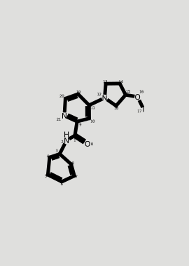 O=C(Nc1ccccc1)c1cc(N2CCC(OI)C2)ccn1